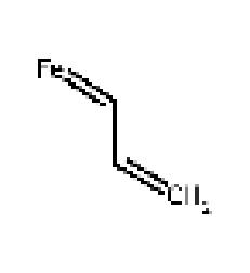 C=C[CH]=[Fe]